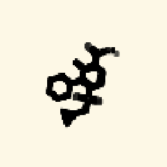 Cc1c(C(N)=O)ccc(S(=O)(=O)CC2CC2)c1C1CCCCC1